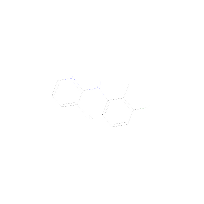 Cc1c(Cl)cccc1Nc1ncccc1C#N